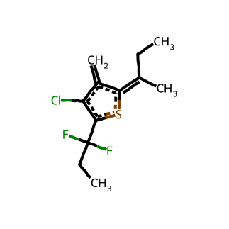 C=c1c(Cl)c(C(F)(F)CC)s/c1=C(\C)CC